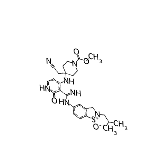 COC(=O)N1CCC(CC#N)(Nc2cc[nH]c(=O)c2C(=N)Nc2ccc3c(c2)CN(CC(C)C)[S+]3[O-])CC1